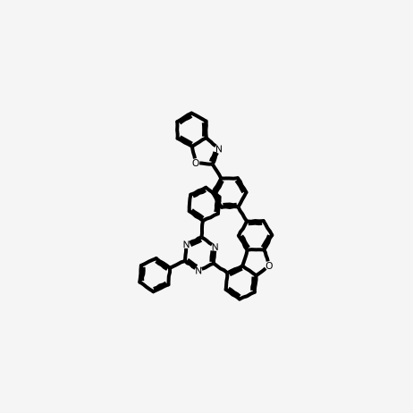 c1ccc(-c2nc(-c3ccccc3)nc(-c3cccc4oc5ccc(-c6ccc(-c7nc8ccccc8o7)cc6)cc5c34)n2)cc1